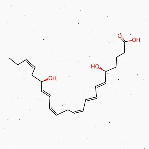 CC/C=C\C[C@@H](O)/C=C/C=C\C\C=C/C=C/C=C/[C@@H](O)CCCC(=O)O